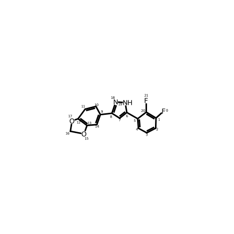 Fc1cccc(-c2cc(-c3ccc4c(c3)OCO4)n[nH]2)c1F